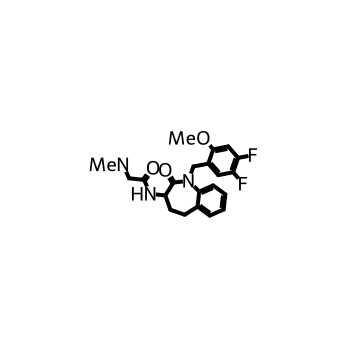 CNCC(=O)NC1CCc2ccccc2N(Cc2cc(F)c(F)cc2OC)C1=O